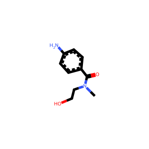 CN(CCO)C(=O)c1ccc(N)cc1